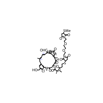 CSC1CC(=O)N(CCOCCOCCN2C(=O)CC(SCCC(=O)N(C)[C@@H](C)C(=O)O[C@H]3CC(=O)N(C)c4cc(cc(CO)c4Cl)C/C(C)=C/C=C/[C@@H](C=O)[C@@]4(O)C[C@H](OC(=O)N4)[C@@H](C)[C@@H]4O[C@@]34C)C2=O)C1=O